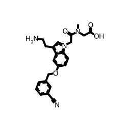 CN(CC(=O)O)C(=O)Cn1cc(CCN)c2cc(OCc3cccc(C#N)c3)ccc21